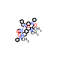 Cc1c(C(=O)N(c2ccccc2)c2ccccc2)cc(-c2cc3c(cc2C(=O)N2Cc4ccccc4C[C@H]2CN2CCOCC2)CN(C(=O)N(C)c2ccccc2)CC3)n1C